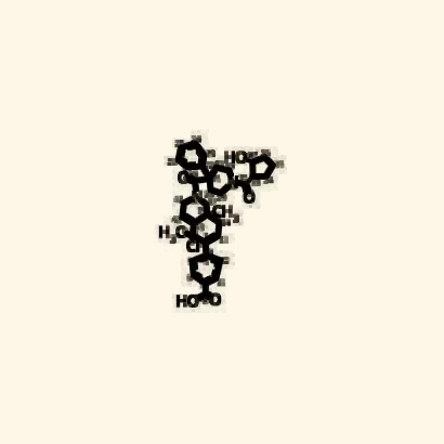 CC1(C)C(c2ccc(C(=O)O)cc2)=CC[C@]2(C)CN(C(=O)C3(c4ccccc4)CCN(C(=O)[C@@H]4CCC[C@@H]4O)CC3)CC=C12